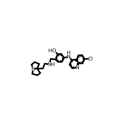 Oc1cc(Nc2ccnc3cc(Cl)ccc23)ccc1CNCCC12CCCN1CCC2